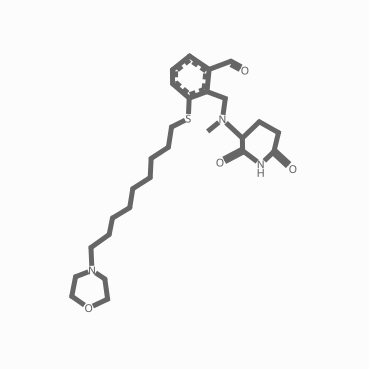 CN(Cc1c(C=O)cccc1SCCCCCCCCCN1CCOCC1)C1CCC(=O)NC1=O